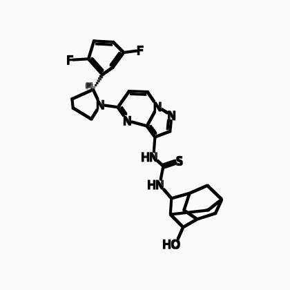 OC1C2CC3CC(C2)C(NC(=S)Nc2cnn4ccc(N5CCC[C@@H]5c5cc(F)ccc5F)nc24)C1C3